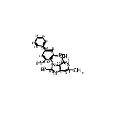 Cc1cc2nc(Br)n(-c3c(C(C)C)cc(-c4ccccc4)cc3C(C)C)c2c(C)n1